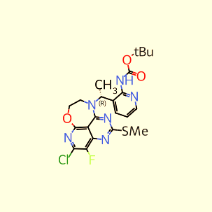 CSc1nc2c3c(nc(Cl)c(F)c3n1)OCCN2[C@H](C)c1cccnc1NC(=O)OC(C)(C)C